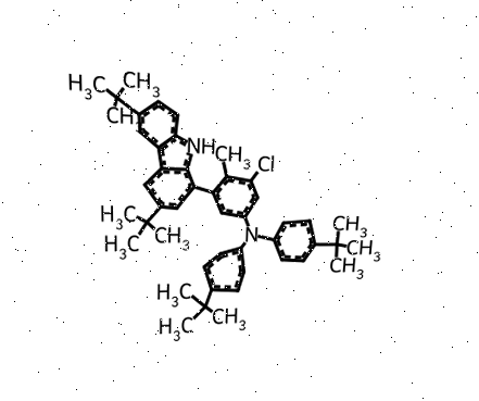 Cc1c(Cl)cc(N(c2ccc(C(C)(C)C)cc2)c2ccc(C(C)(C)C)cc2)cc1-c1cc(C(C)(C)C)cc2c1[nH]c1ccc(C(C)(C)C)cc12